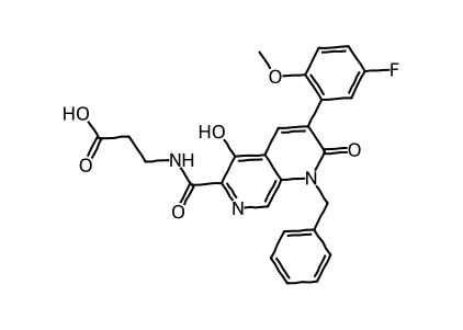 COc1ccc(F)cc1-c1cc2c(O)c(C(=O)NCCC(=O)O)ncc2n(Cc2ccccc2)c1=O